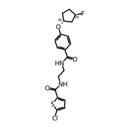 O=C(NCCNC(=O)c1ccc(Cl)s1)c1ccc(O[C@@H]2CC[C@@H](F)C2)cc1